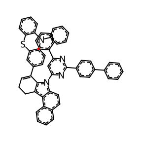 C1=C(c2ccc3c(c2)Sc2ccccc2N3c2ccccc2)c2c(c3c4ccccc4ccc3n2-c2cc(-c3ccccc3)nc(-c3ccc(-c4ccccc4)cc3)n2)CC1